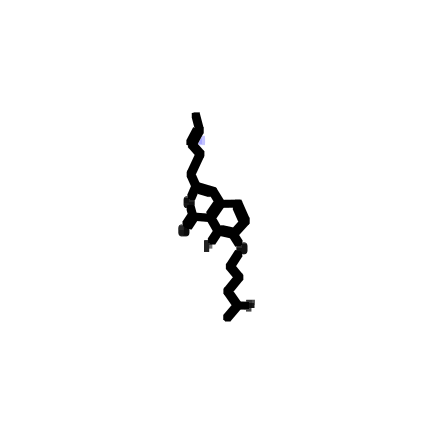 C/C=C/CCc1cc2ccc(OCCCC(C)F)c(F)c2c(=O)o1